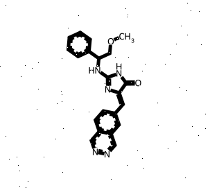 COCC(NC1=N/C(=C\c2ccc3cnncc3c2)C(=O)N1)c1ccccc1